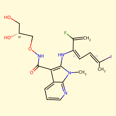 C=C(F)/C(=C\C=C(/C)I)Nc1c(C(=O)NOC[C@H](O)CO)c2cccnc2n1C